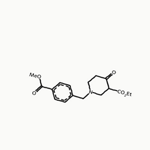 CCOC(=O)C1CN(Cc2ccc(C(=O)OC)cc2)CCC1=O